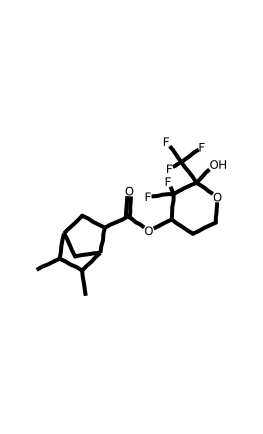 CC1C2CC(C(=O)OC3CCOC(O)(C(F)(F)F)C3(F)F)C(C2)C1C